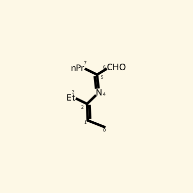 C/C=C(CC)\N=C(\C=O)CCC